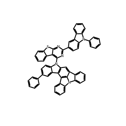 c1ccc(-c2ccc3c(c2)c2c4c5ccccc5n5c6ccccc6c(cc2n3-c2nc(-c3ccc6c(c3)c3ccccc3n6-c3ccccc3)nc3sc6ccccc6c23)c45)cc1